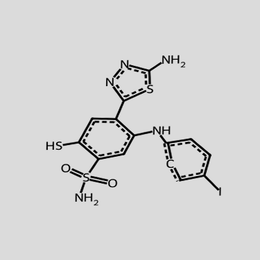 Nc1nnc(-c2cc(S)c(S(N)(=O)=O)cc2Nc2ccc(I)cc2)s1